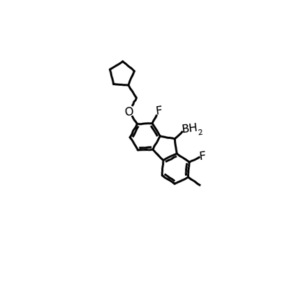 BC1c2c(ccc(C)c2F)-c2ccc(OCC3CCCC3)c(F)c21